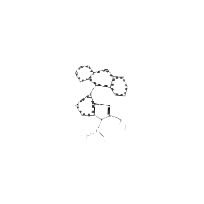 CCC1=Cc2c(-c3c4ccccc4cc4ccccc34)cccc2[CH]1[Zr]([Cl])[Cl]